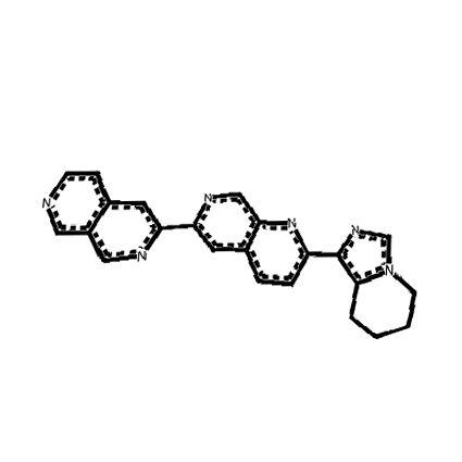 c1cc2cc(-c3cc4ccc(-c5ncn6c5CCCC6)nc4cn3)ncc2cn1